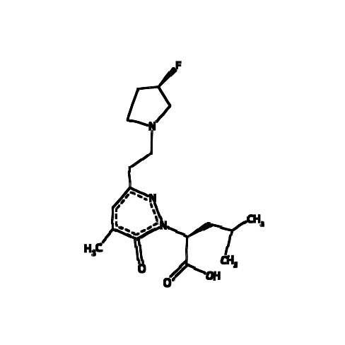 Cc1cc(CCN2CC[C@@H](F)C2)nn([C@@H](CC(C)C)C(=O)O)c1=O